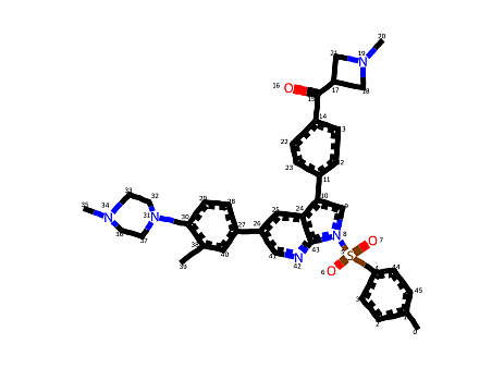 Cc1ccc(S(=O)(=O)n2cc(-c3ccc(C(=O)C4CN(C)C4)cc3)c3cc(-c4ccc(N5CCN(C)CC5)c(C)c4)cnc32)cc1